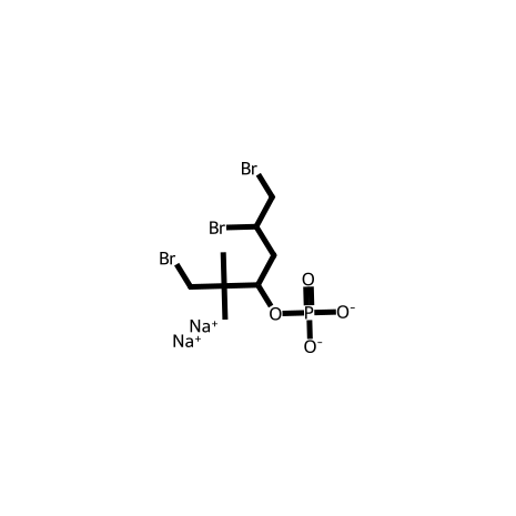 CC(C)(CBr)C(CC(Br)CBr)OP(=O)([O-])[O-].[Na+].[Na+]